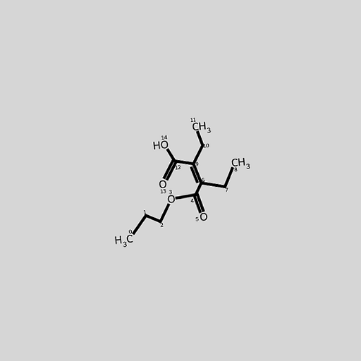 CCCOC(=O)C(CC)=C(CC)C(=O)O